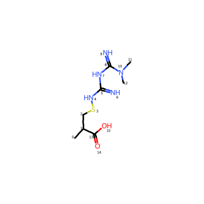 CC(CSNC(=N)NC(=N)N(C)C)C(=O)O